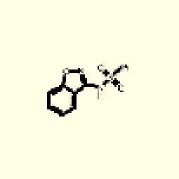 CC(C)S(=O)(=O)Nc1noc2ccccc12